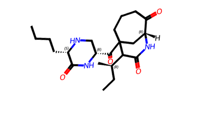 CCCC[C@@H]1NC[C@H](C(=O)C23CCCC(=O)[C@@H](C2)NC(=O)C3[C@H](C)CC)NC1=O